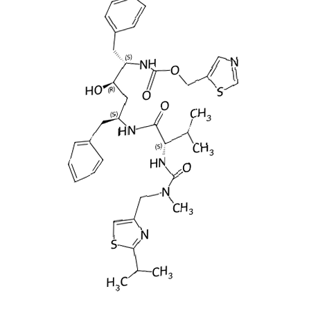 CC(C)c1nc(CN(C)C(=O)N[C@H](C(=O)N[C@@H](Cc2ccccc2)C[C@@H](O)[C@H](Cc2ccccc2)NC(=O)OCc2cncs2)C(C)C)cs1